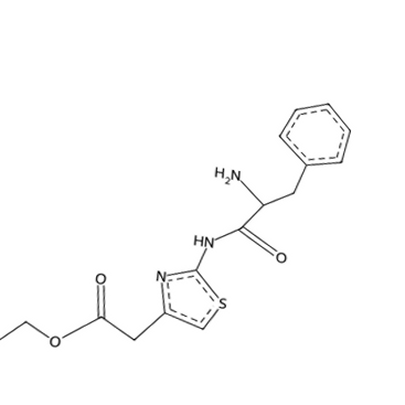 CCOC(=O)Cc1csc(NC(=O)C(N)Cc2ccccc2)n1